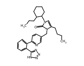 CCCCc1cn(C2CCCCC2CCC)c(=O)n1Cc1ccc(-c2ccccc2-c2nnn[nH]2)nc1